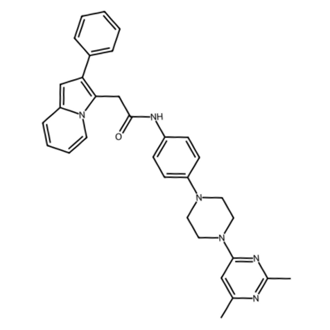 Cc1cc(N2CCN(c3ccc(NC(=O)Cc4c(-c5ccccc5)cc5ccccn45)cc3)CC2)nc(C)n1